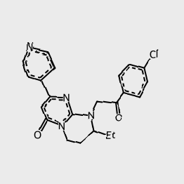 CCC1CCn2c(nc(-c3ccncc3)cc2=O)N1CC(=O)c1ccc(Cl)cc1